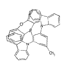 Cc1cc(-n2c3ccccc3c3ccccc32)c(B2c3ccccc3Oc3ccccc32)c(-n2c3ccccc3c3ccccc32)c1